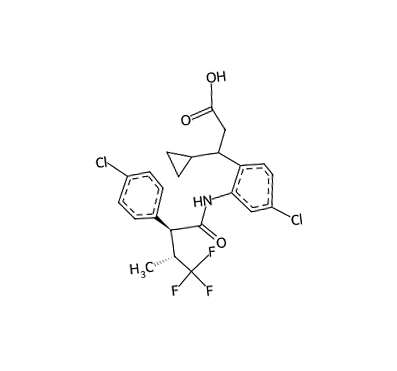 C[C@H]([C@H](C(=O)Nc1cc(Cl)ccc1C(CC(=O)O)C1CC1)c1ccc(Cl)cc1)C(F)(F)F